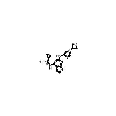 C[C@H](Nc1nc(Nc2cn(C3COC3)nn2)nc2[nH]ccc12)C1CC1